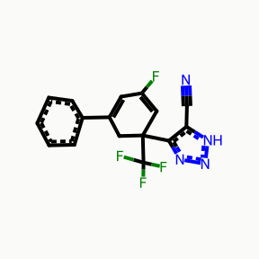 N#Cc1[nH]nnc1C1(C(F)(F)F)C=C(F)C=C(c2ccccc2)C1